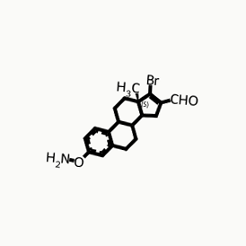 C[C@]12CCC3c4ccc(ON)cc4CCC3C1CC(C=O)=C2Br